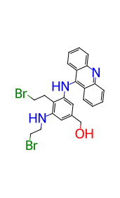 OCc1cc(NCCBr)c(CCBr)c(Nc2c3ccccc3nc3ccccc23)c1